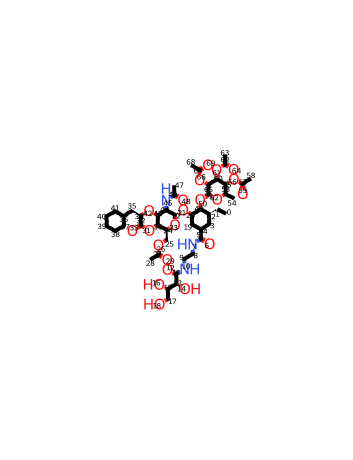 CC[C@@H]1CC(C(=O)NCCNC(=O)[C@@H](O)[C@H](O)CO)CC(O[C@@H]2O[C@@H](COC(C)=O)C3OC(=O)[C@@H](CC4CCCCC4)OC3C2NC(C)=O)C1OC1OC(C)C(OC(C)=O)C(OC(C)=O)C1OC(C)=O